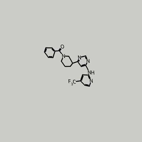 O=C(c1ccccc1)N1CCCC(c2cc(Nc3cc(C(F)(F)F)ccn3)ncn2)C1